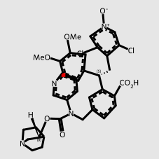 COc1ccc([C@H](Cc2c(Cl)c[n+]([O-])cc2Cl)c2cc(CN(C(=O)O[C@H]3CN4CCC3CC4)c3cccnc3)ccc2C(=O)O)cc1OC